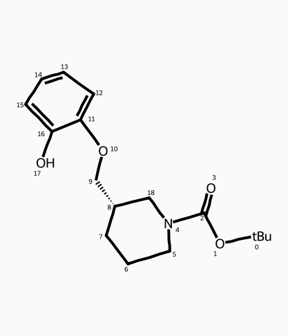 CC(C)(C)OC(=O)N1CCC[C@H](COc2ccccc2O)C1